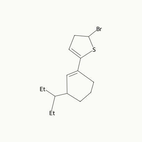 CCC(CC)C1C=C(C2=CCC(Br)S2)CCC1